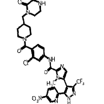 Cn1c(-c2c(C(F)(F)F)n[nH]c2-c2ccc([N+](=O)[O-])cn2)cnc1C(=O)Nc1ccc(C(=O)N2CCC(CN3CCNCC3=O)CC2)c(Cl)c1